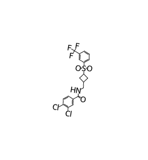 O=C(NCC1CC(S(=O)(=O)c2cccc(C(F)(F)F)c2)C1)c1ccc(Cl)c(Cl)c1